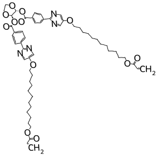 C=CC(=O)OCCCCCCCCCCCCOc1cnc(-c2ccc(C(=O)O[C@H]3OCCO[C@@H]3OC(=O)c3ccc(-c4ncc(OCCCCCCCCCCCCOC(=O)C=C)cn4)cc3)cc2)nc1